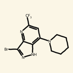 FC(F)(F)c1cc(N2CCCCC2)c2[nH]nc(Br)c2n1